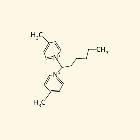 CCCCCC([n+]1ccc(C)cc1)[n+]1ccc(C)cc1